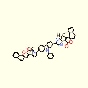 Cc1c(-c2cnc(-c3ccc4c5ccc(-c6ccc(-c7cc8ccc9ccccc9c8oc7=O)n6C)cc5n(-c5ccccc5)c4c3)cn2)c(=O)oc2ccc3ccccc3c12